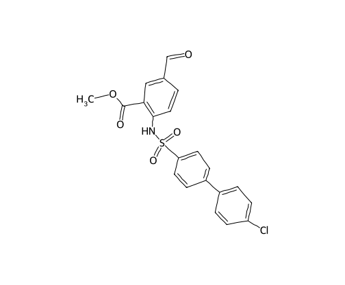 COC(=O)c1cc(C=O)ccc1NS(=O)(=O)c1ccc(-c2ccc(Cl)cc2)cc1